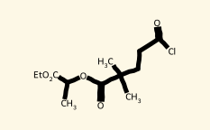 CCOC(=O)C(C)OC(=O)C(C)(C)CCC(=O)Cl